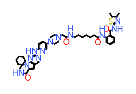 CC1N=C(NC(=O)c2ccccc2NC(=O)CCCCCCNC(=O)CN2CCN(c3ccc(Nc4ncc5cc6n(c5n4)C4(CCCCC4)CNC6=O)nc3)CC2)SC1C